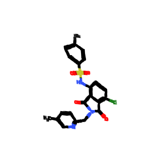 Cc1ccc(CN2C(=O)c3c(Cl)ccc(NS(=O)(=O)c4ccc(C(C)(C)C)cc4)c3C2=O)nc1